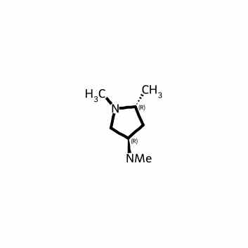 CN[C@@H]1C[C@@H](C)N(C)C1